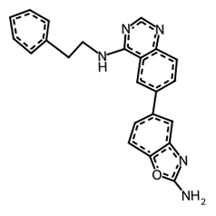 Nc1nc2cc(-c3ccc4ncnc(NCCc5ccccc5)c4c3)ccc2o1